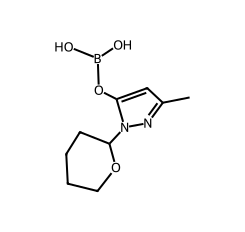 Cc1cc(OB(O)O)n(C2CCCCO2)n1